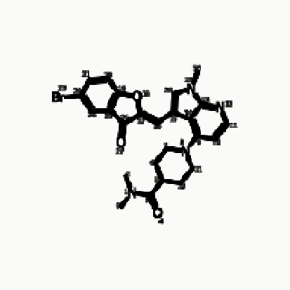 CN(C)C(=O)C1CCN(c2ccnc3c2c(C=C2Oc4ccc(Br)cc4C2=O)cn3C)CC1